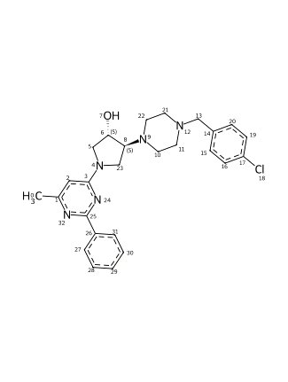 Cc1cc(N2C[C@H](O)[C@@H](N3CCN(Cc4ccc(Cl)cc4)CC3)C2)nc(-c2ccccc2)n1